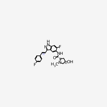 CN1C[C@H](O)C[C@H]1C(=O)Nc1cc2c(/C=C/c3ccc(F)cc3)n[nH]c2cc1F